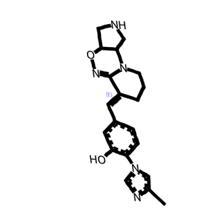 Cc1cn(-c2ccc(/C=C3\CCCN4C3=NOC3CNCC34)cc2O)cn1